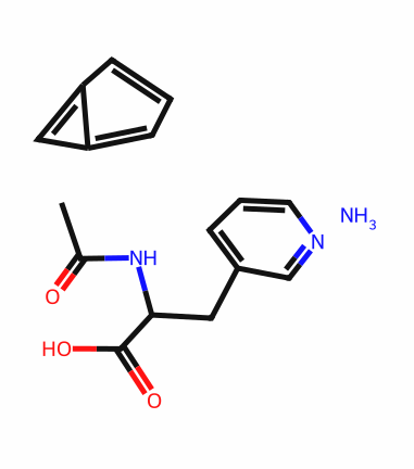 CC(=O)NC(Cc1cccnc1)C(=O)O.N.c1cc2cc-2c1